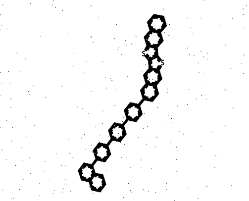 c1ccc2cc3c(cc2c1)sc1c2cc4cc(-c5ccc(-c6ccc(-c7ccc(-c8cccc9ccccc89)cc7)cc6)cc5)ccc4cc2sc31